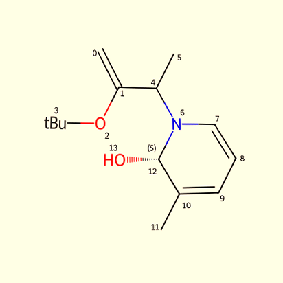 C=C(OC(C)(C)C)C(C)N1C=CC=C(C)[C@@H]1O